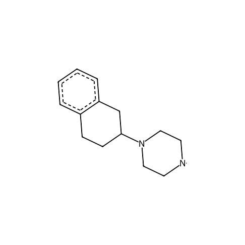 c1ccc2c(c1)CCC(N1CC[N]CC1)C2